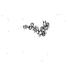 CC(C)(C)OC(=O)N1CCN(c2ccc3occ(C4CCC(=O)NC4=O)c3c2)CC1